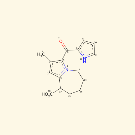 Cc1cc2n(c1C(=O)c1ccc[nH]1)CCCCC2C(=O)O